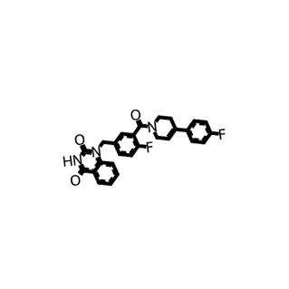 O=C(c1cc(Cn2c(=O)[nH]c(=O)c3ccccc32)ccc1F)N1CC=C(c2ccc(F)cc2)CC1